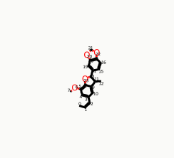 C/C=C\c1cc(OC)c2c(c1)C(C)C(c1ccc3c(c1)OCO3)O2